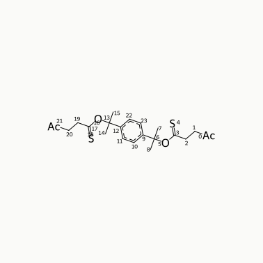 CC(=O)CCC(=S)OC(C)(C)c1ccc(C(C)(C)OC(=S)CCC(C)=O)cc1